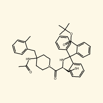 CC(=O)NC1(Cc2ccccc2C)CCN(C(=O)[C@H](CS)NC(c2ccccc2)(c2ccccc2)c2ccccc2C(=O)OC(C)(C)C)CC1